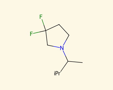 CC(C)C(C)N1CCC(F)(F)C1